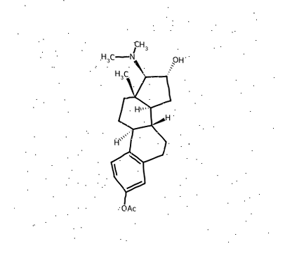 CC(=O)Oc1ccc2c(c1)CC[C@@H]1[C@@H]2CC[C@]2(C)[C@@H](N(C)C)[C@H](O)C[C@@H]12